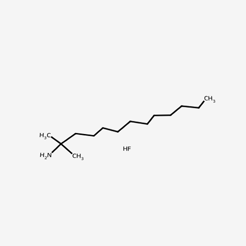 CCCCCCCCCCCC(C)(C)N.F